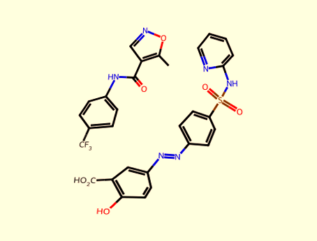 Cc1oncc1C(=O)Nc1ccc(C(F)(F)F)cc1.O=C(O)c1cc(N=Nc2ccc(S(=O)(=O)Nc3ccccn3)cc2)ccc1O